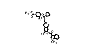 COC(=O)[C@H]1CC[C@H](OC(C)(OCC(=O)Cc2cc(Cl)c(NC(=O)c3cn(C)c4ccccc34)cc2F)N2CCCC2)CC1